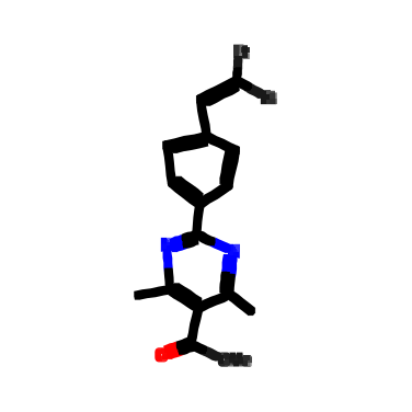 CCC(=Cc1ccc(-c2nc(C)c(C(=O)OC)c(C)n2)cc1)CC